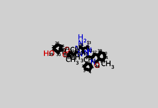 Cc1ccccc1-n1c(Cn2nc(I)c3c(N)nc(CC4(C)OB(c5cccc(O)c5)OC4(C)C)nc32)cc2cccc(C)c2c1=O